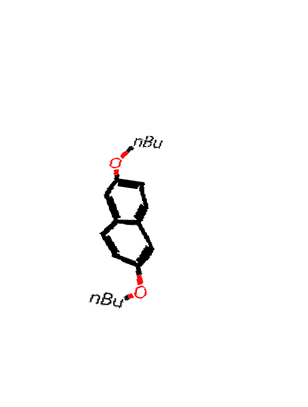 CCCCOc1ccc2cc(OCCCC)ccc2c1